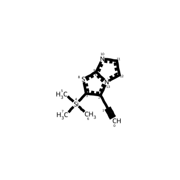 C#Cc1c([Si](C)(C)C)sc2nccn12